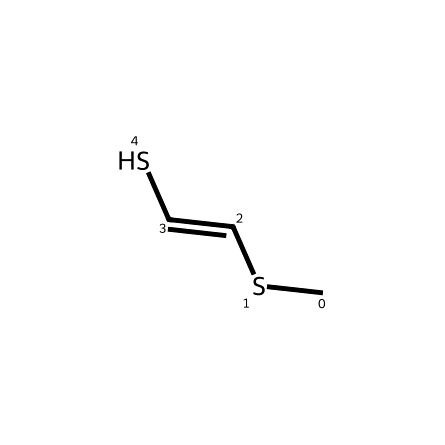 CSC=CS